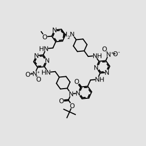 COc1ncccc1CNc1ncc([N+](=O)[O-])c(NCC2CCC(N(C(=O)OC(C)(C)C)n3cccc(CNc4ncc([N+](=O)[O-])c(NCC5CCC(N)CC5)n4)c3=O)CC2)n1